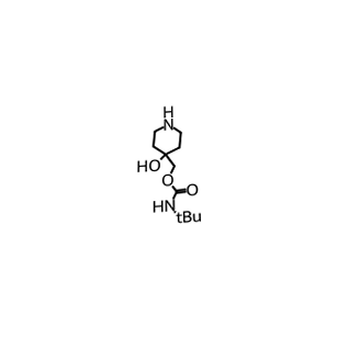 CC(C)(C)NC(=O)OCC1(O)CCNCC1